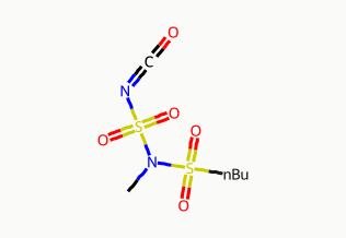 CCCCS(=O)(=O)N(C)S(=O)(=O)N=C=O